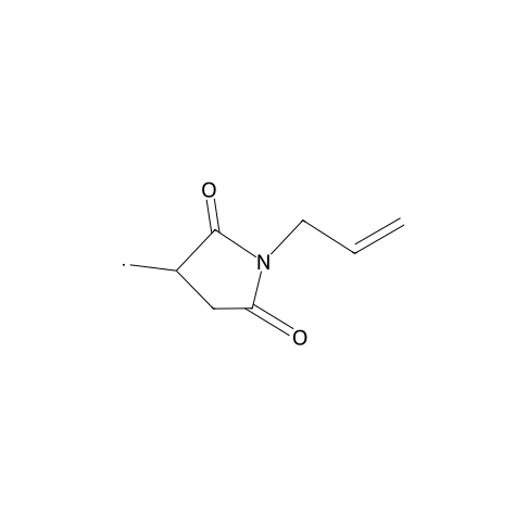 [CH2]C1CC(=O)N(CC=C)C1=O